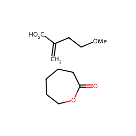 C=C(CCOC)C(=O)O.O=C1CCCCCO1